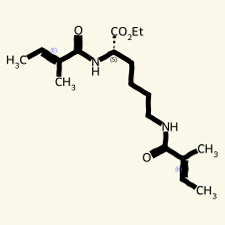 C/C=C(\C)C(=O)NCCCC[C@H](NC(=O)/C(C)=C/C)C(=O)OCC